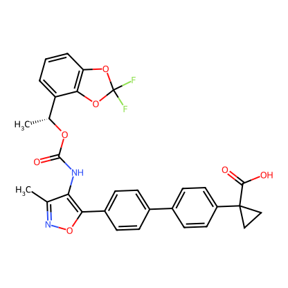 Cc1noc(-c2ccc(-c3ccc(C4(C(=O)O)CC4)cc3)cc2)c1NC(=O)O[C@H](C)c1cccc2c1OC(F)(F)O2